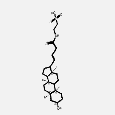 C[C@]12CCC3[C@@H](CC[C@@H]4C[C@H](O)CC[C@]34C)C1CCC2CCCC(=O)NCCS(=O)(=O)O